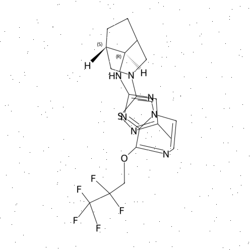 Cc1cc(N2CC3CC[C@@H](C2)[C@@H]3Nc2nc3c(OCC(F)(F)C(F)(F)F)nccn3n2)sn1